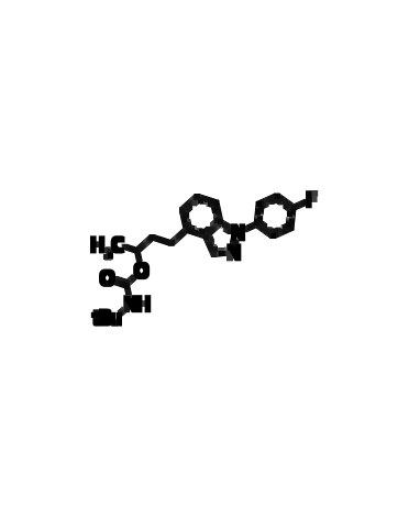 CC(CCc1cccc2c1cnn2-c1ccc(F)cc1)OC(=O)NC(C)(C)C